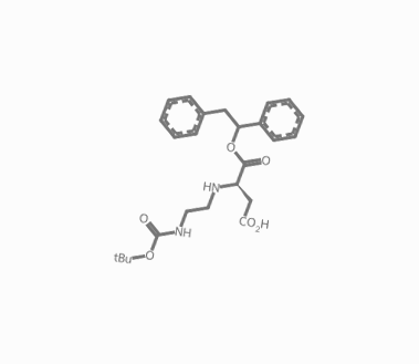 CC(C)(C)OC(=O)NCCN[C@H](CC(=O)O)C(=O)OC(Cc1ccccc1)c1ccccc1